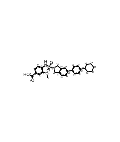 COc1cc(C(=O)O)ccc1NS(=O)(=O)N1Cc2ccc(-c3ccc(C4CCCCC4)cc3)cc2C1